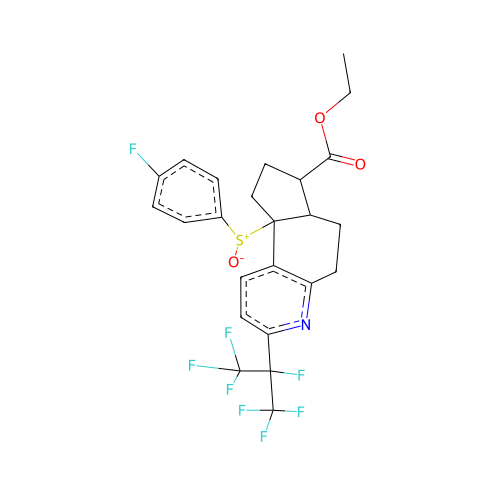 CCOC(=O)C1CCC2([S+]([O-])c3ccc(F)cc3)c3ccc(C(F)(C(F)(F)F)C(F)(F)F)nc3CCC12